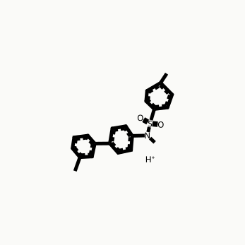 Cc1ccc(S(=O)(=O)N(C)c2ccc(-c3cccc(C)c3)cc2)cc1.[H+]